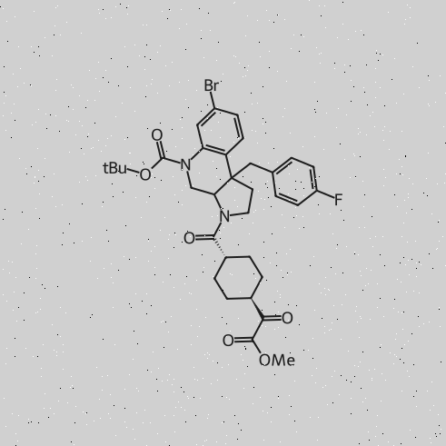 COC(=O)C(=O)[C@H]1CC[C@H](C(=O)N2CCC3(Cc4ccc(F)cc4)c4ccc(Br)cc4N(C(=O)OC(C)(C)C)CC23)CC1